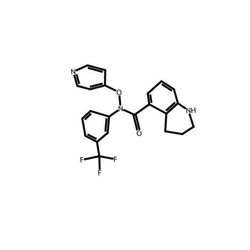 O=C(c1cccc2c1CCCN2)N(Oc1ccncc1)c1cccc(C(F)(F)F)c1